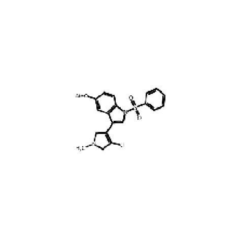 COc1ccc2c(c1)c(C1=C(Cl)CN(C)C1)cn2S(=O)(=O)c1ccccc1